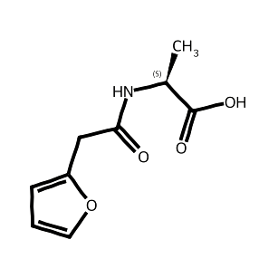 C[C@H](NC(=O)Cc1ccco1)C(=O)O